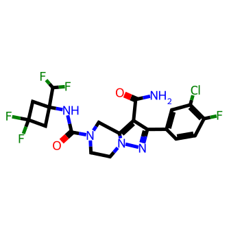 NC(=O)c1c(-c2ccc(F)c(Cl)c2)nn2c1CN(C(=O)NC1(C(F)F)CC(F)(F)C1)CC2